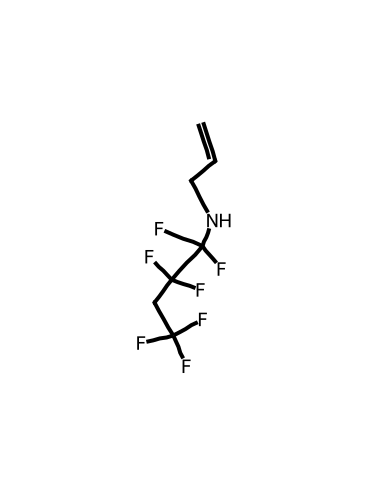 C=CCNC(F)(F)C(F)(F)CC(F)(F)F